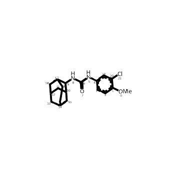 COc1ccc(NC(=O)NC2C3CC4CC(C3)CC2C4)cc1Cl